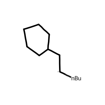 CCCC[CH]CC1CCCCC1